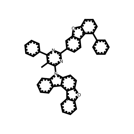 Cc1c(-c2ccccc2)nc(-c2ccc3c(c2)oc2cccc(-c4ccccc4)c23)nc1-n1c2ccccc2c2c3c(ccc21)oc1ccccc13